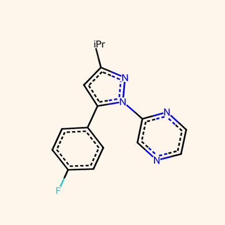 CC(C)c1cc(-c2ccc(F)cc2)n(-c2cnccn2)n1